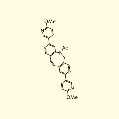 COc1ccc(-c2ccc3c(c2)N(C(C)=O)Cc2cnc(-c4ccc(OC)nc4)cc2/C=C\3)cn1